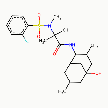 CC1CC2CC(O)(C1)CC(C)C2NC(=O)C(C)(C)N(C)S(=O)(=O)c1ccccc1F